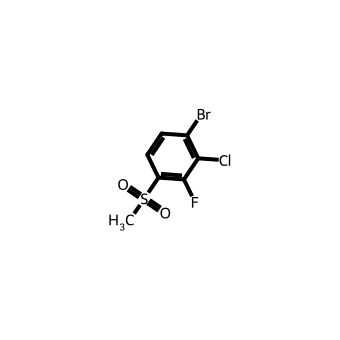 CS(=O)(=O)c1ccc(Br)c(Cl)c1F